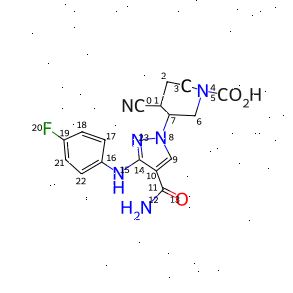 N#CC1CCN(C(=O)O)CC1n1cc(C(N)=O)c(Nc2ccc(F)cc2)n1